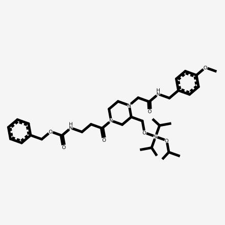 COc1ccc(CNC(=O)CN2CCN(C(=O)CCNC(=O)OCc3ccccc3)CC2CO[Si](OC(C)C)(C(C)C)C(C)C)cc1